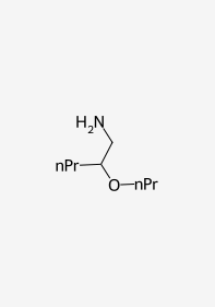 CCCOC(CN)CCC